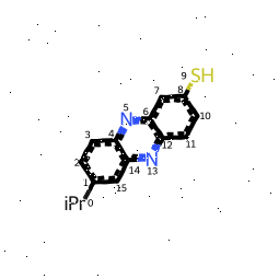 CC(C)c1ccc2nc3cc(S)ccc3nc2c1